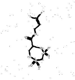 O=C(OCC=C(F)F)C1COS(=O)(=O)CS(=O)(=O)O1